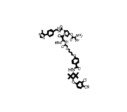 Cc1ncsc1-c1ccc(CNC(=O)[C@@H]2C[C@@H](OC(=O)C(N)C(C)C)CN2C(=O)[C@@H](NC(=O)COCCCCOc2ccc(C(=O)N[C@H]3C(C)(C)[C@H](Oc4ccc(C#N)c(Cl)c4)C3(C)C)cc2)C(C)(C)C)cc1